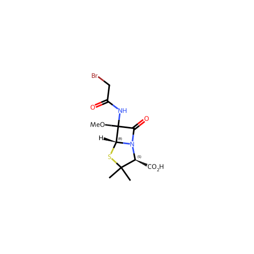 COC1(NC(=O)CBr)C(=O)N2[C@@H](C(=O)O)C(C)(C)S[C@@H]21